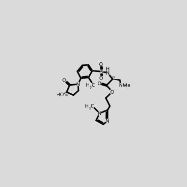 CNC[C@H](NS(=O)(=O)c1cccc(N2CC[C@H](O)C2=O)c1C)C(=O)OCCc1nccn1C